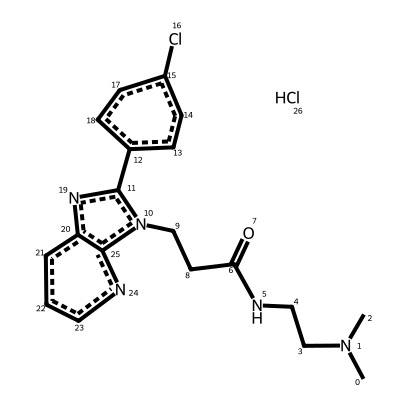 CN(C)CCNC(=O)CCn1c(-c2ccc(Cl)cc2)nc2cccnc21.Cl